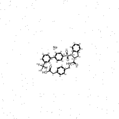 O=C(O)Cc1ccc(CNC(=O)[C@@H]2Cc3ccccc3N2S(=O)(=O)c2ccc(-c3cccc(C(F)(F)F)c3)cc2)cc1.[Na]